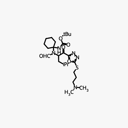 CC(C)CC(C(=O)c1nnc(SCCCN(C)C)o1)N(C=O)C1(NC(=O)OC(C)(C)C)CCCCC1